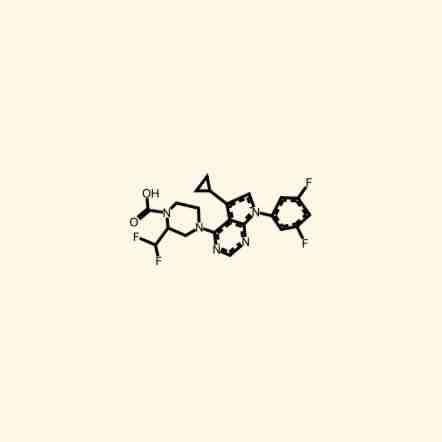 O=C(O)N1CCN(c2ncnc3c2c(C2CC2)cn3-c2cc(F)cc(F)c2)CC1C(F)F